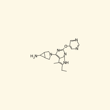 CCc1[nH]c2nc(Oc3cncnc3)nc(N3CC4C(N)C4C3)c2c1C